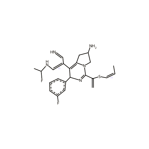 C=C(S/C=C\C)C1=NC(c2cccc(F)c2)C(/C(C=N)=C/NC(C)F)=C2CC(N)CN12